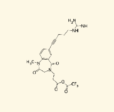 CN1C(=O)CN(CCC(=O)OC(=O)C(F)(F)F)C(=O)c2cc(C#CCCCNC(=N)N)ccc21